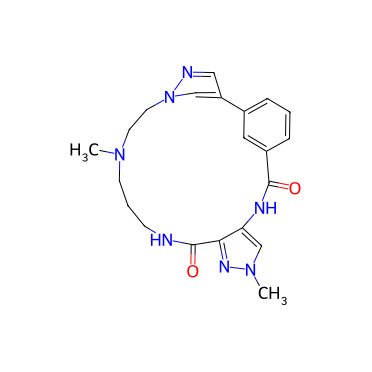 CN1CCCNC(=O)c2nn(C)cc2NC(=O)c2cccc(c2)-c2cnn(c2)CC1